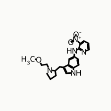 COCCN1CCCC1Cc1c[nH]c2ccc(Nc3ncccc3[N+](=O)[O-])cc12